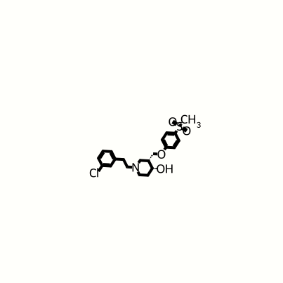 CS(=O)(=O)c1ccc(OC[C@H]2CN(CCc3cccc(Cl)c3)CC[C@H]2O)cc1